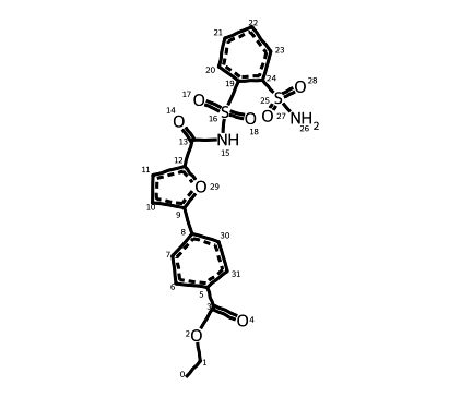 CCOC(=O)c1ccc(-c2ccc(C(=O)NS(=O)(=O)c3ccccc3S(N)(=O)=O)o2)cc1